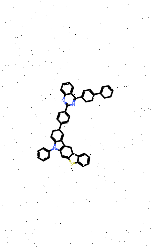 C1=CCCC(C2=CC=C(c3nc(-c4ccc(C5C=c6c7c(n(-c8ccccc8)c6=CC5)C=C5Sc6ccccc6C5C7)cc4)nc4ccccc34)CC2)=C1